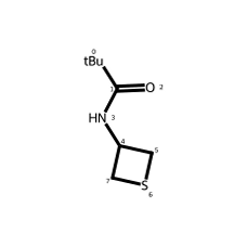 CC(C)(C)C(=O)NC1CSC1